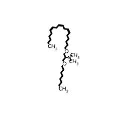 CCCCC/C=C\C/C=C\C/C=C\CCCCCOCC(COCCCCCCCC)N(C)C